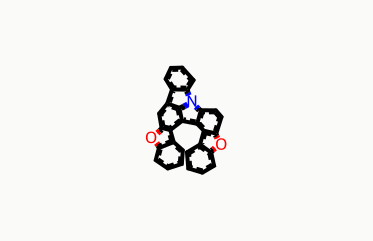 c1ccc2c(c1)oc1ccc3c(c12)c1c2c(cc4c5ccccc5n3c41)oc1ccccc12